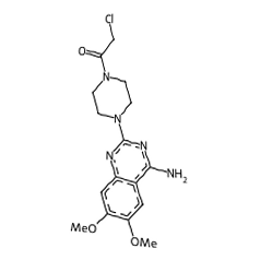 COc1cc2nc(N3CCN(C(=O)CCl)CC3)nc(N)c2cc1OC